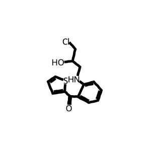 O=C(c1cccs1)c1ccccc1NCC(O)CCl